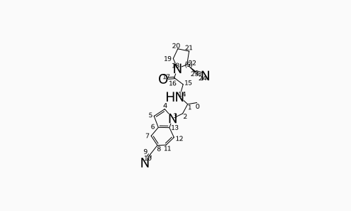 CC(Cn1ccc2cc(C#N)ccc21)NCC(=O)N1CCC[C@H]1C#N